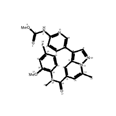 COC(=O)Nc1ccc(-c2cnn3c(C)cc(C(=O)N(C)c4ccc(F)cc4OC)cc23)cn1